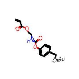 C=CC(=O)OCCNC(=O)Oc1ccc(COCC(C)C)cc1